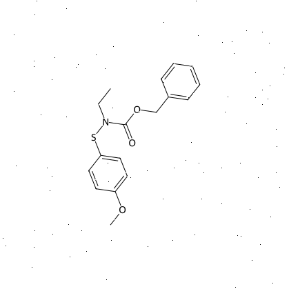 CCN(Sc1ccc(OC)cc1)C(=O)OCc1ccccc1